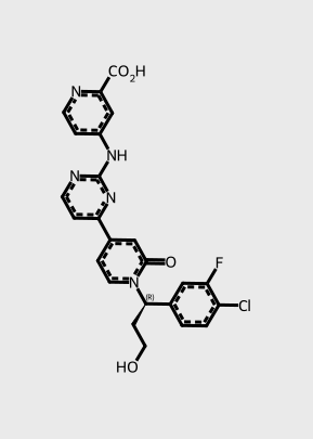 O=C(O)c1cc(Nc2nccc(-c3ccn([C@H](CCO)c4ccc(Cl)c(F)c4)c(=O)c3)n2)ccn1